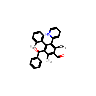 Cc1ccccc1-c1c(C(=O)c2ccccc2)c(C)c(C=O)c(C)c1C1=CCC=CN1